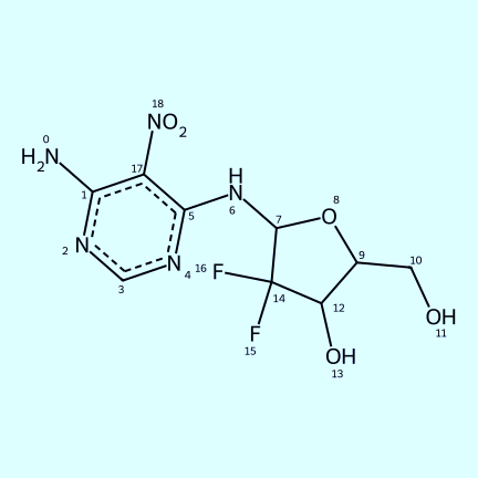 Nc1ncnc(NC2OC(CO)C(O)C2(F)F)c1[N+](=O)[O-]